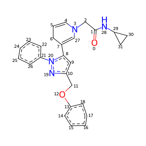 O=C(CN1C=CCC(c2cc(COc3ccccc3)nn2-c2ccccc2)=C1)NC1CC1